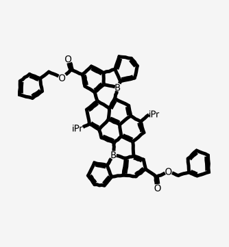 CC(C)c1cc2c3c(cc4c(C(C)C)cc5c6c(cc1c3c46)B1c3ccccc3-c3cc(C(=O)OCc4ccccc4)cc-5c31)B1c3ccccc3-c3cc(C(=O)OCc4ccccc4)cc-2c31